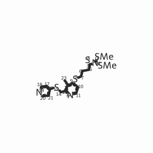 CSN(SC)C(=S)CCCSc1ccnc(CSc2ccncc2)c1C